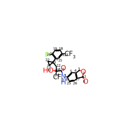 O=C1OCc2cc(NC(=O)C(O)(CC3(c4cc(C(F)(F)F)ccc4F)CC3)C(F)(F)F)ccc21